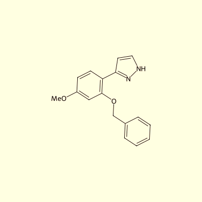 COc1ccc(-c2cc[nH]n2)c(OCc2ccccc2)c1